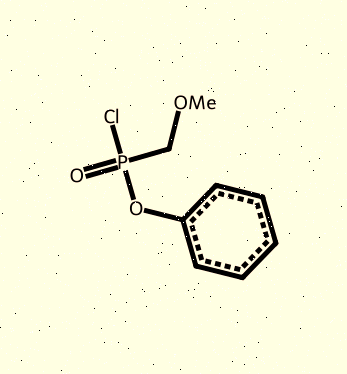 COCP(=O)(Cl)Oc1ccccc1